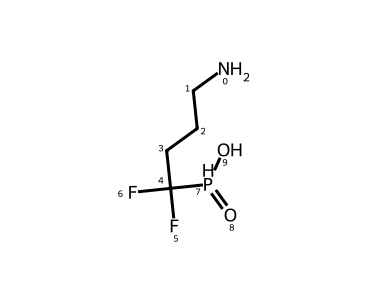 NCCCC(F)(F)[PH](=O)O